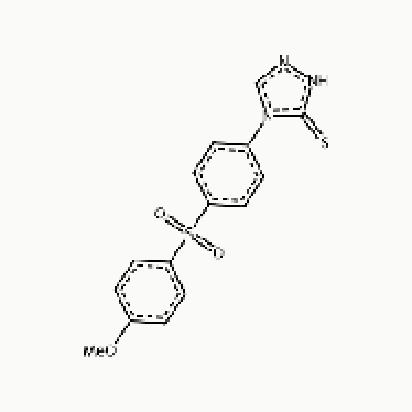 COc1ccc(S(=O)(=O)c2ccc(-n3cn[nH]c3=S)cc2)cc1